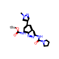 Cn1cc(-c2cc(NC(=O)OC(C)(C)C)c3nnc(NC(=O)N4CCCC4)cc3c2)cn1